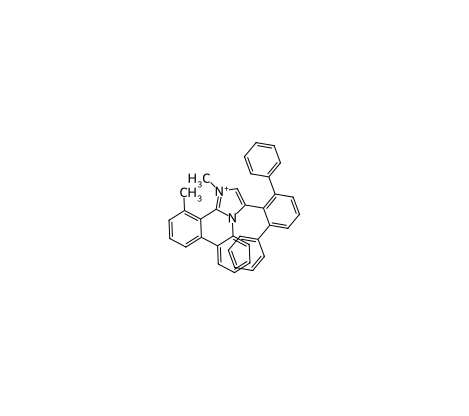 Cc1cccc2c3ccccc3n3c(-c4c(-c5ccccc5)cccc4-c4ccccc4)c[n+](C)c3c12